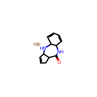 Br.O=C1NC2C=CC=CC2NC2C=CCC12